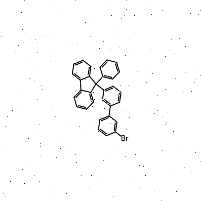 Brc1cccc(-c2cccc(C3(c4ccccc4)c4ccccc4-c4ccccc43)c2)c1